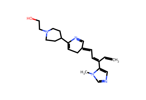 C=C/C(=C\C=C1\C=NC(C2CCN(CCO)CC2)=CC1)c1cncn1C